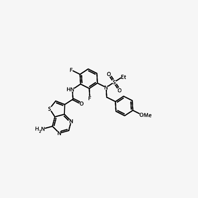 CCS(=O)(=O)N(Cc1ccc(OC)cc1)c1ccc(F)c(NC(=O)c2csc3c(N)ncnc23)c1F